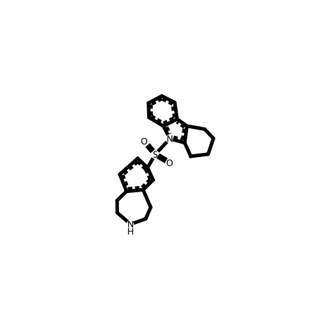 O=S(=O)(c1ccc2c(c1)CCNCC2)n1c2c(c3ccccc31)CCCC2